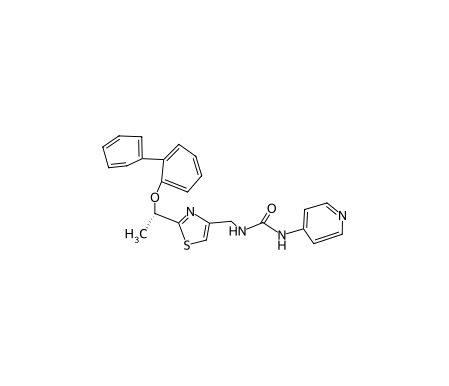 C[C@H](Oc1ccccc1-c1ccccc1)c1nc(CNC(=O)Nc2ccncc2)cs1